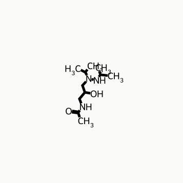 CC(=O)NCC(O)CN(NC(C)C)C(C)C